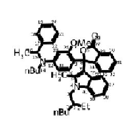 CCCCC(CC)Cn1c(C)c(C2(c3ccc(N(CCCC)C(C)c4ccccc4)cc3OC)OC(=O)c3ccccc32)c2ccccc21